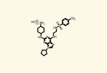 Cc1ccc(S(=O)(=O)NCCNc2nc(NC3CCC(N)CC3)nc3c2ncn3C2CCCC2)cc1.Cl.Cl